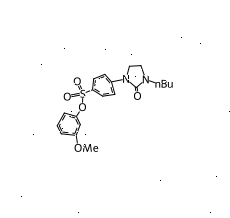 CCCCN1CCN(c2ccc(S(=O)(=O)Oc3cccc(OC)c3)cc2)C1=O